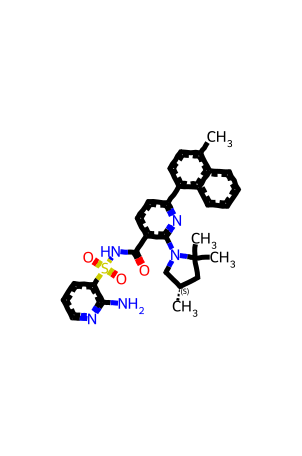 Cc1ccc(-c2ccc(C(=O)NS(=O)(=O)c3cccnc3N)c(N3C[C@@H](C)CC3(C)C)n2)c2ccccc12